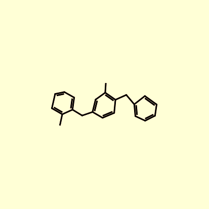 Cc1ccccc1Cc1ccc(Cc2ccccc2)c(C)c1